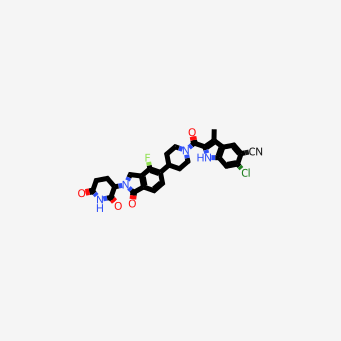 Cc1c(C(=O)N2CCC(c3ccc4c(c3F)CN(C3CCC(=O)NC3=O)C4=O)CC2)[nH]c2cc(Cl)c(C#N)cc12